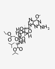 CCOC(=O)COP(=O)(N[C@@H](CC(C)C)C(=O)OC(C)C)OC1[C@H]2O[C@@H](n3cnc4c(OC)nc(N)nc43)[C@](C)(O)[C@@]12O